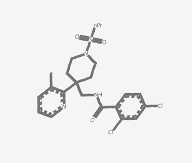 CCCS(=O)(=O)N1CCC(CNC(=O)c2ccc(Cl)cc2Cl)(c2ncccc2C)CC1